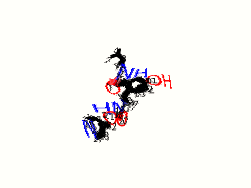 CC(C)CCNC(=O)c1cc(O)ccc1C[C@H](C)NC(=O)OCc1ccncc1